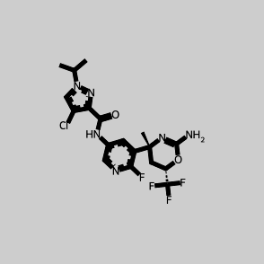 CC(C)n1cc(Cl)c(C(=O)Nc2cnc(F)c([C@@]3(C)C[C@@H](C(F)(F)F)OC(N)=N3)c2)n1